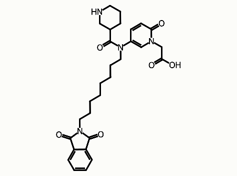 O=C(O)Cn1cc(N(CCCCCCCCN2C(=O)c3ccccc3C2=O)C(=O)C2CCCNC2)ccc1=O